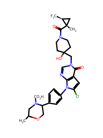 CC1CN(C(=O)O)C(c2ccc(-n3c(Cl)cc4c(=O)n(CC5(O)CCN(C(=O)[C@@]6(C)C[C@@H]6C(F)(F)F)CC5)cnc43)cc2)CO1